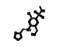 CNS(=O)(=O)c1cc(CO)c(NCc2ccco2)cc1Cl